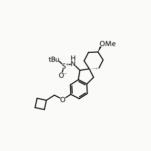 CO[C@H]1CC[C@]2(CC1)Cc1ccc(OCC3CCC3)cc1C2N[S+]([O-])C(C)(C)C